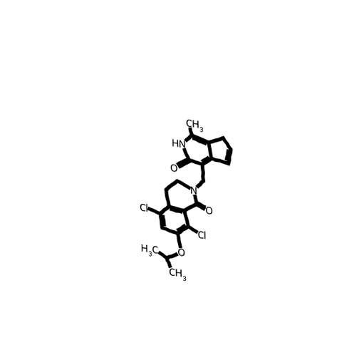 Cc1[nH]c(=O)c(CN2CCc3c(Cl)cc(OC(C)C)c(Cl)c3C2=O)c2c1CC=C2